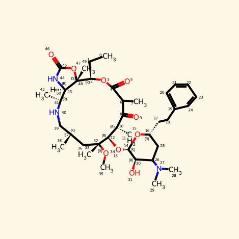 CC[C@H]1OC(=O)C(C)C(=O)[C@H](C)[C@@H](O[C@@H]2O[C@H](CCc3ccccc3)CC(N(C)C)[C@H]2O)[C@](C)(OC)C[C@@H](C)CN[C@H](C)[C@H]2NC(=O)O[C@@]21C